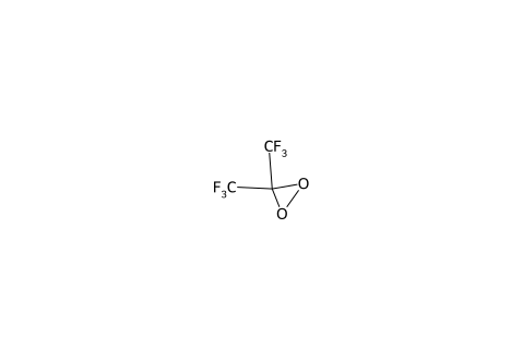 FC(F)(F)C1(C(F)(F)F)OO1